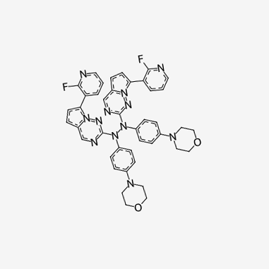 Fc1ncccc1-c1ccc2cnc(N(c3ccc(N4CCOCC4)cc3)N(c3ccc(N4CCOCC4)cc3)c3ncc4ccc(-c5cccnc5F)n4n3)nn12